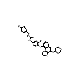 O=C(NCc1ccc(F)cc1)Nc1ccc(Oc2ccnc3cc(OC4CCOCC4)c4c(c23)OCCO4)c(F)c1